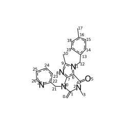 C=C1N(C)C(=O)c2c(nc(C)n2Cc2ccc(C)cc2)N1Cc1ccccn1